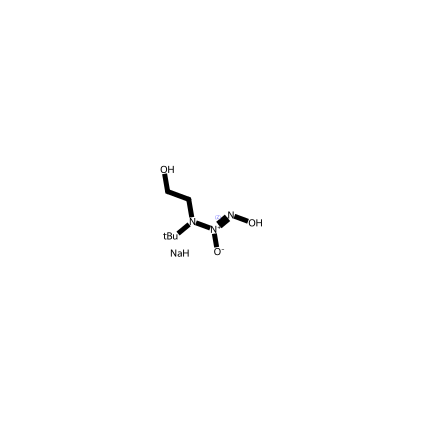 CC(C)(C)N(CCO)/[N+]([O-])=N/O.[NaH]